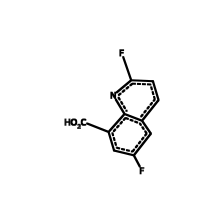 O=C(O)c1cc(F)cc2ccc(F)nc12